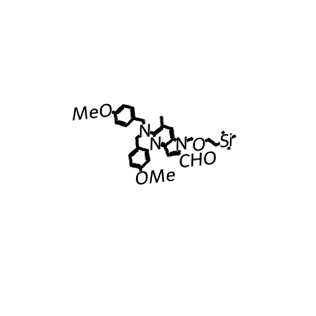 COc1ccc(CN(Cc2ccc(OC)cc2)c2nc3cc(C=O)n(COCC[Si](C)(C)C)c3cc2C)cc1